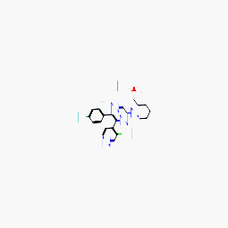 COCC1CCCCN1c1cnc(-c2ccc(F)cc2F)c(-c2ccncc2Cl)n1